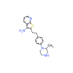 CC1CNCCN1c1ccc(CCc2sc3ncccc3c2N)cc1